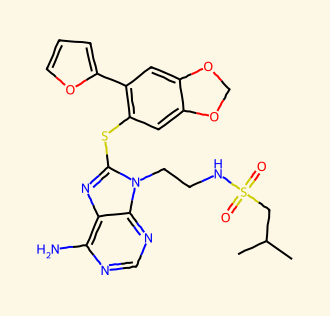 CC(C)CS(=O)(=O)NCCn1c(Sc2cc3c(cc2-c2ccco2)OCO3)nc2c(N)ncnc21